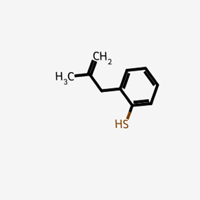 C=C(C)Cc1ccccc1S